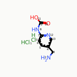 Cl.Cl.NCc1ccc(NC(=O)O)nc1